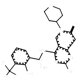 Cc1nc(N[C@H](O)c2cccc(C(F)(F)F)c2C)c2cn(C3CCOCC3)c(=O)cc2n1